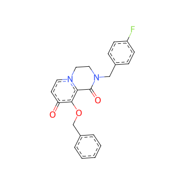 O=C1c2c(OCc3ccccc3)c(=O)ccn2CCN1Cc1ccc(F)cc1